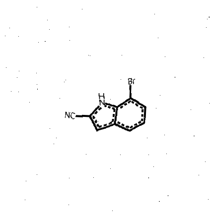 N#Cc1cc2cccc(Br)c2[nH]1